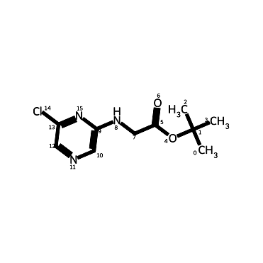 CC(C)(C)OC(=O)CNc1cncc(Cl)n1